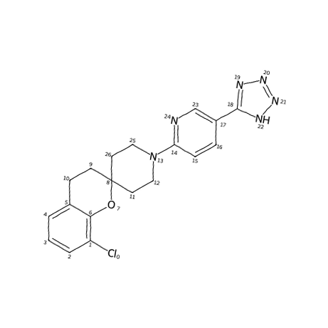 Clc1cccc2c1OC1(CC2)CCN(c2ccc(-c3nnn[nH]3)cn2)CC1